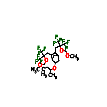 CCC(C)OC1CC2CC1C(CC(OCOC)(C(F)(F)F)C(F)(F)F)C2CC(OCOC)(C(F)(F)F)C(F)(F)F